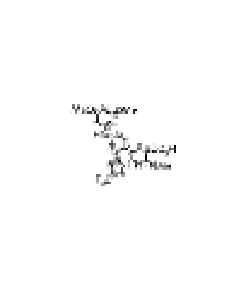 CNc1ncc(-c2cnc(Nc3cc(OC)cc(OC)c3)nc2-n2ccc(C(F)(F)F)n2)cc1C(=O)O